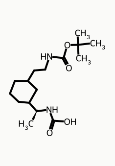 C[C@H](NC(=O)O)C1CCCC(CCNC(=O)OC(C)(C)C)C1